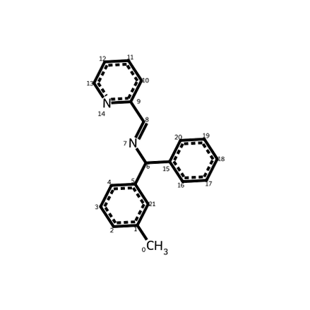 Cc1cccc(C(/N=C/c2ccccn2)c2ccccc2)c1